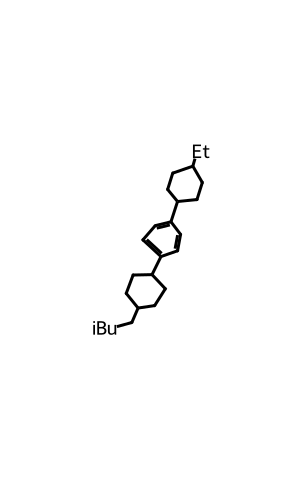 CCC(C)CC1CCC(c2ccc(C3CCC(CC)CC3)cc2)CC1